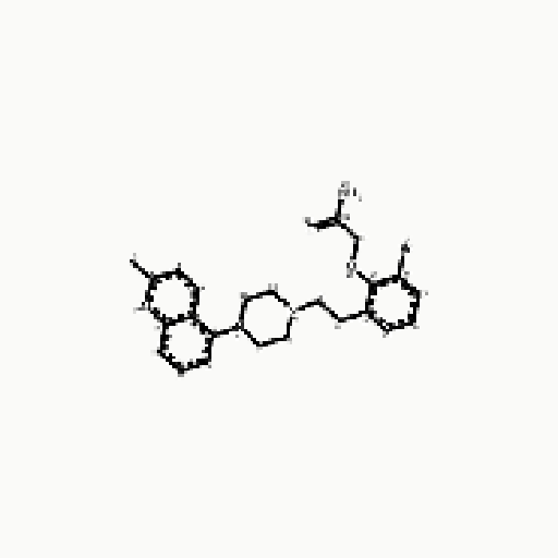 Cc1ccc2c(N3CCN(CCc4cccc(Br)c4OCC(N)=O)CC3)cccc2n1